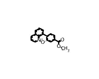 COC(=O)c1ccc(-c2cccc3ccc[n+]([O-])c23)cc1